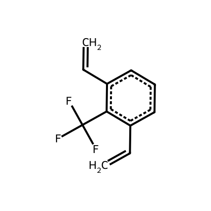 C=Cc1cccc(C=C)c1C(F)(F)F